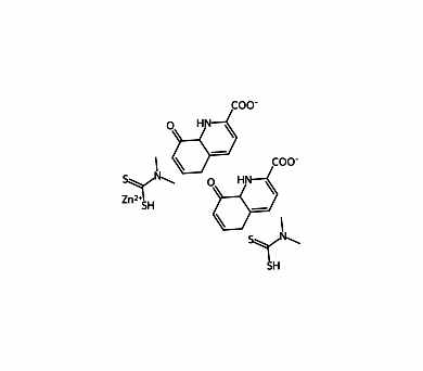 CN(C)C(=S)S.CN(C)C(=S)S.O=C([O-])C1=CC=C2CC=CC(=O)C2N1.O=C([O-])C1=CC=C2CC=CC(=O)C2N1.[Zn+2]